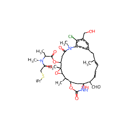 C/C1=C\C=C\C(C=O)C2(O)CC(OC(=O)N2)C(C)C2OC2(C)C(OC(=O)C(C)N(C)C(=O)CSC(C)C)CC(=O)N(C)c2cc(cc(CO)c2Cl)C1